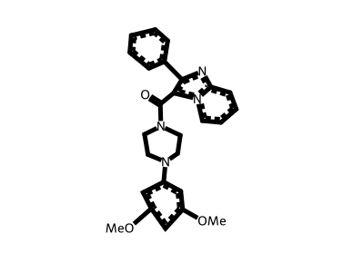 COc1cc(OC)cc(N2CCN(C(=O)c3c(-c4ccccc4)nc4ccccn34)CC2)c1